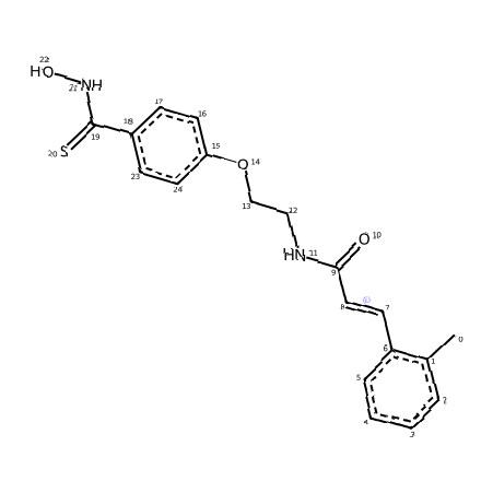 Cc1ccccc1/C=C/C(=O)NCCOc1ccc(C(=S)NO)cc1